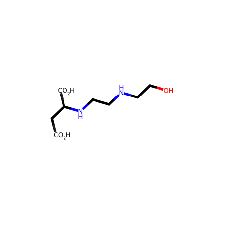 O=C(O)CC(NCCNCCO)C(=O)O